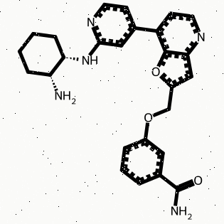 NC(=O)c1cccc(OCc2cc3nccc(-c4ccnc(N[C@H]5CCCC[C@H]5N)c4)c3o2)c1